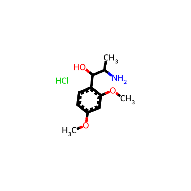 COc1ccc(C(O)C(C)N)c(OC)c1.Cl